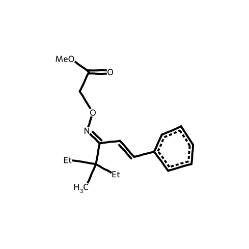 CCC(C)(CC)C(/C=C/c1ccccc1)=N/OCC(=O)OC